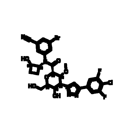 CO[C@@H]1[C@@H](n2cc(-c3cc(F)c(Cl)c(F)c3)nn2)[C@@H](O)[C@@H](CO)O[C@H]1C(=O)N(c1cc(Br)cc(C#N)c1)[C@@H]1CC[C@H]1O